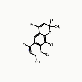 CCOc1c(/C(=C\CO)CC)cc2c(c1Cl)OC(C)(C)C=C2C(C)C